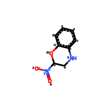 O=[N+]([O-])C1CNc2ccccc2O1